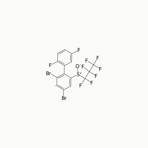 [O-][S+](c1cc(Br)[c]c(Br)c1-c1cc(F)ccc1F)C(F)(F)C(F)(F)C(F)(F)F